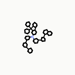 c1ccc(-c2cccc(-c3cccc(N(c4cccc(-c5cccc(-c6cccc7ccccc67)c5)c4)c4ccc5c(c4)C(c4ccccc4)(c4ccccc4)c4ccccc4-5)c3)c2)cc1